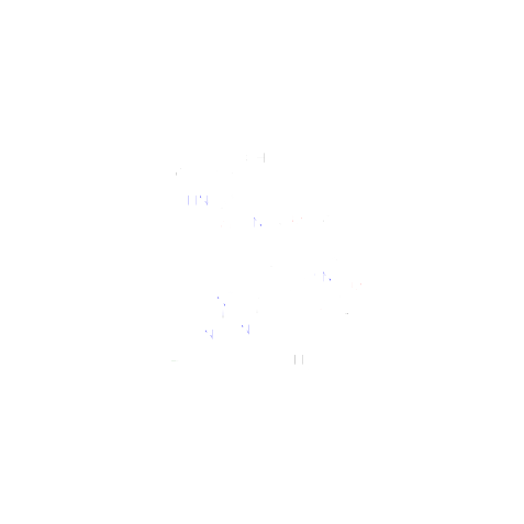 C=CCC1(S(=O)(=O)n2cc(C)c3c(C(=O)NCc4c(C)cc(C)[nH]c4=O)cc(-c4cnc(N5CC(F)C5)nc4)cc32)CC1